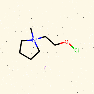 C[N+]1(CCOCl)CCCC1.[I-]